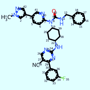 Cn1cc(-c2ccc(N(C(=O)NCc3ccccc3)[C@H]3CC[C@H](Nc4ncc(C#N)c(-c5cccc(F)c5)n4)CC3)nc2)cn1